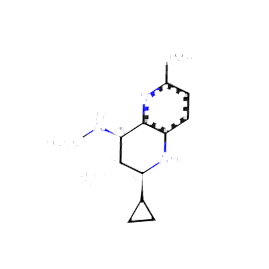 COc1ccc2c(n1)[C@H](NC(=O)O)[C@@H](C)[C@H](C1CC1)N2